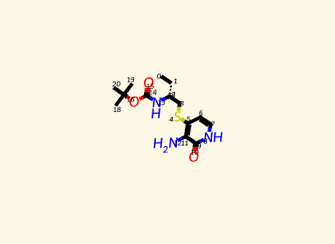 CC[C@H](CSc1cc[nH]c(=O)c1N)NC(=O)OC(C)(C)C